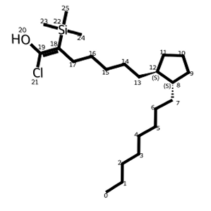 CCCCCCCC[C@H]1CCC[C@@H]1CCCCCC(=C(O)Cl)[Si](C)(C)C